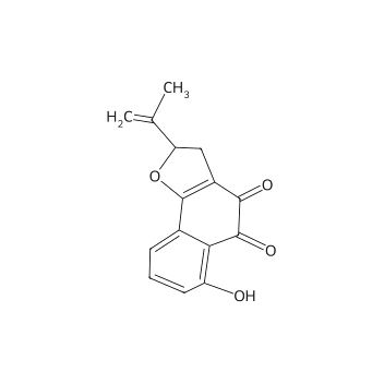 C=C(C)C1CC2=C(O1)c1cccc(O)c1C(=O)C2=O